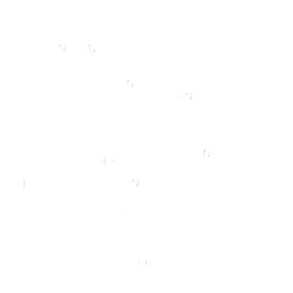 CN(C(=O)OC(C)(C)C)[C@H]1CCN(c2ccccc2NC(=O)c2ccn3ncc(-c4cccc(Cl)c4)c3n2)C1